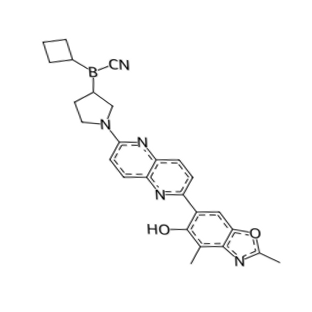 Cc1nc2c(C)c(O)c(-c3ccc4nc(N5CCC(B(C#N)C6CCC6)C5)ccc4n3)cc2o1